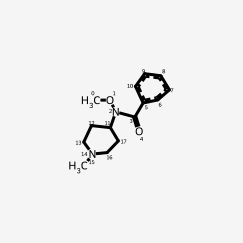 CON(C(=O)c1ccccc1)C1CCN(C)CC1